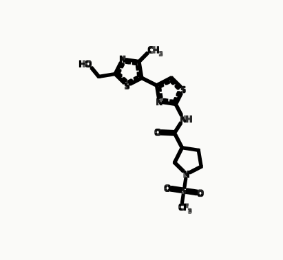 Cc1nc(CO)sc1-c1csc(NC(=O)C2CCN(S(=O)(=O)C(F)(F)F)C2)n1